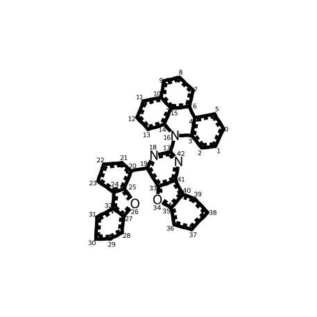 c1ccc2c(c1)-c1cccc3cccc(c13)N2c1nc(-c2cccc3c2oc2ccccc23)c2oc3ccccc3c2n1